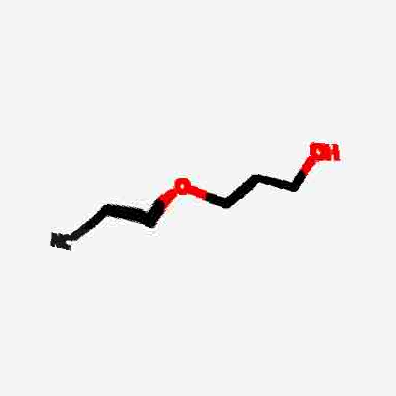 N#CCCOCCCO